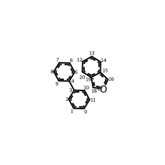 c1ccc(-c2ccccc2)cc1.c1ccc2cocc2c1